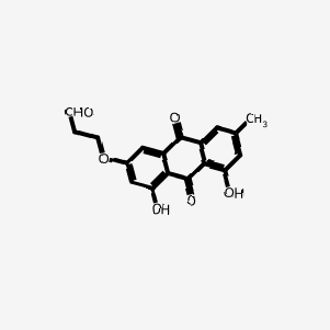 Cc1cc(O)c2c(c1)C(=O)c1cc(OCCC=O)cc(O)c1C2=O